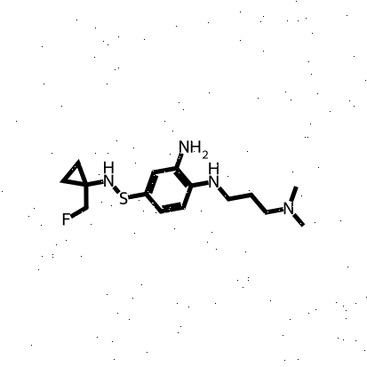 CN(C)CCCNc1ccc(SNC2(CF)CC2)cc1N